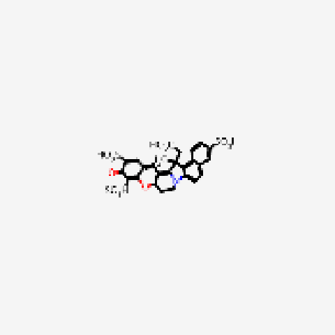 CC1(CC(=O)O)C2=C3C=C4C=C(S(=O)(=O)O)C(=O)C(S(=O)(=O)O)=C4OC3CCN2c2ccc3cc(S(=O)(=O)O)ccc3c21